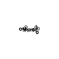 CCOC(=O)C(c1ccccc1)N1CCN(c2ccc(-n3cnn(C(C)c4ccccc4)c3=O)c(C)c2)CC1